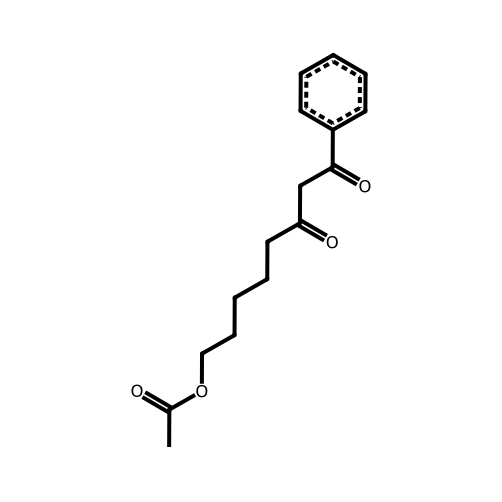 CC(=O)OCCCCCC(=O)CC(=O)c1ccccc1